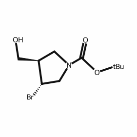 CC(C)(C)OC(=O)N1C[C@H](CO)[C@@H](Br)C1